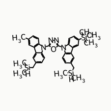 Cc1ccc2c(c1)c1cc(C[SiH](C)C)ccc1n2-c1nnc(-n2c3ccc(C[SiH](C)C)cc3c3cc([Si](C)(C)C)ccc32)o1